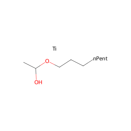 CCCCCCCCOC(C)O.[Ti]